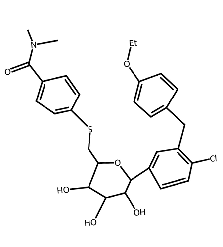 CCOc1ccc(Cc2cc(C3OC(CSc4ccc(C(=O)N(C)C)cc4)C(O)C(O)C3O)ccc2Cl)cc1